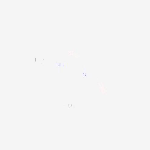 COc1ccccc1C(CN1C(=O)c2ccccc2C1=O)NC(=O)O